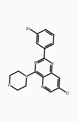 CCc1cccc(-c2nc(N3CCOCC3)c3ncc(Cl)cc3n2)c1